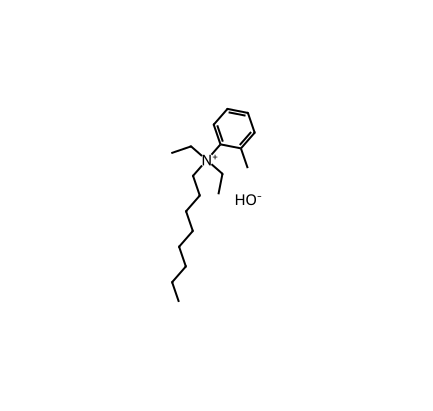 CCCCCCCC[N+](CC)(CC)c1ccccc1C.[OH-]